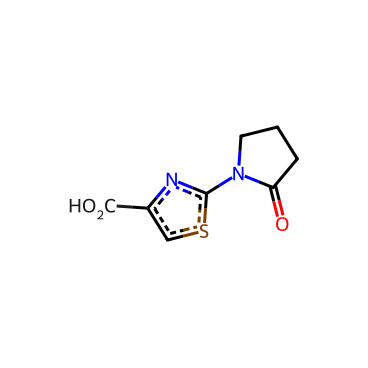 O=C(O)c1csc(N2CCCC2=O)n1